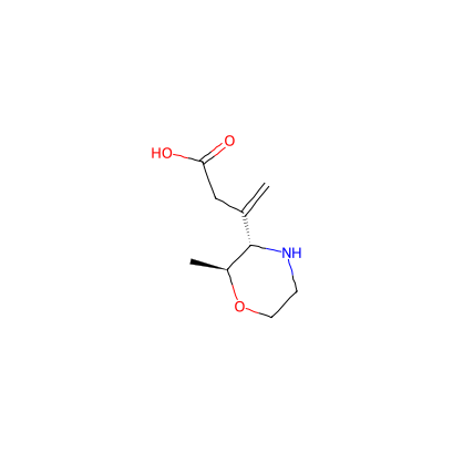 C=C(CC(=O)O)[C@@H]1NCCO[C@H]1C